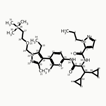 CCCn1nccc1C(=O)N[C@H](C(=O)Nc1ccc(-c2c(C)nn(COCCS(C)(C)C)c2CC)c(F)n1)C(C1CC1)C1CC1